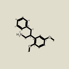 COc1ccc(OC)c(C(CN)Cc2ccccc2)c1